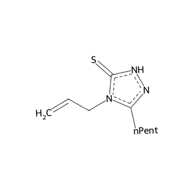 C=CCn1c(CCCCC)n[nH]c1=S